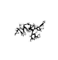 COCC(C)(C#N)NC(=O)c1ccn2nc(-c3cccc(C#N)c3)c(-c3cc(C)nc(Cl)c3)c2n1